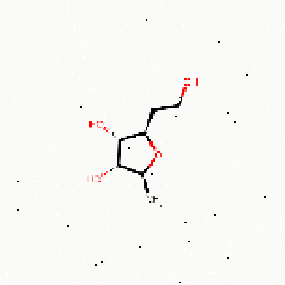 C[C@@H]1O[C@H](CCO)[C@@H](O)[C@H]1O